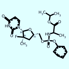 CC(C)OC(=O)C(C)NP(=O)(OC[C@@H]1C[C@@](C)(F)[C@H](n2ccc(=O)[nH]c2=O)O1)Oc1ccccc1